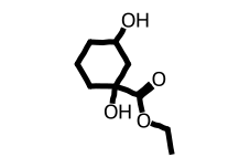 CCOC(=O)C1(O)CCCC(O)C1